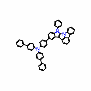 c1ccc(-c2ccc(N(c3ccc(-c4ccccc4)cc3)c3ccc(-c4ccc5c(c4)c4c6cccc7c8ccccc8n(c76)c4n5-c4ccccc4)cc3)cc2)cc1